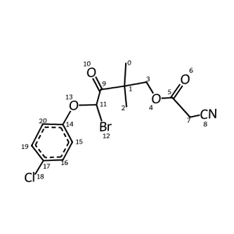 CC(C)(COC(=O)CC#N)C(=O)C(Br)Oc1ccc(Cl)cc1